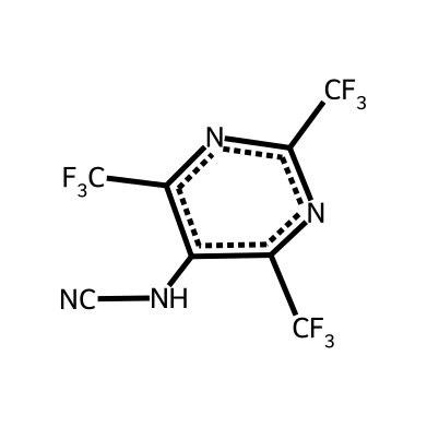 N#CNc1c(C(F)(F)F)nc(C(F)(F)F)nc1C(F)(F)F